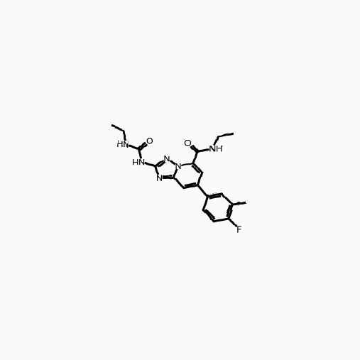 CCNC(=O)Nc1nc2cc(-c3ccc(F)c(C)c3)cc(C(=O)NCC)n2n1